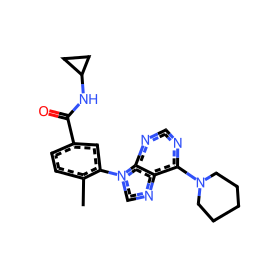 Cc1ccc(C(=O)NC2CC2)cc1-n1cnc2c(N3CCCCC3)ncnc21